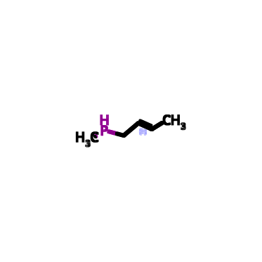 C/C=C/CPC